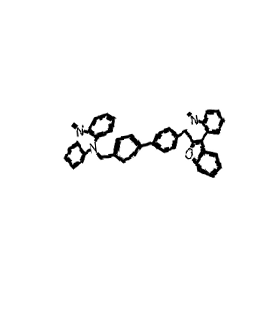 C=Nc1ccccc1-c1c(Cc2ccc(C3=CC=C(CN(c4ccccc4)c4ccccc4N=C)CC3)cc2)oc2ccccc12